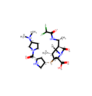 C[C@@H](NC(=O)C(F)F)[C@H]1C(=O)N2C(C(=O)O)=C(S[C@@H]3CN[C@H](C(=O)N4CCC(N(C)C)C4)C3)[C@H](C)[C@H]12